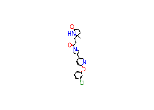 C[C@]1(CCC(=O)N2CC(c3ccc(Oc4cccc(Cl)c4)nc3)C2)CCC(=O)N1